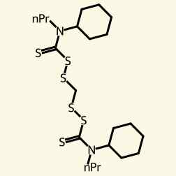 CCCN(C(=S)SSCSSC(=S)N(CCC)C1CCCCC1)C1CCCCC1